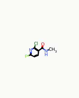 CNC(=O)c1ccc(F)nc1Cl